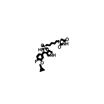 O=C1CN(CCCCCS(=O)(=O)N[C@@H](c2ccc(F)c(OCC3CC3)c2)C2CCNC2)C(=O)N1